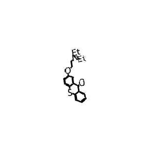 CCN(CC)CCOc1ccc2sc3ccccc3c(=O)c2c1